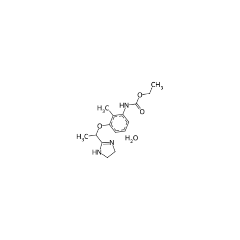 CCOC(=O)Nc1cccc(OC(C)C2=NCCN2)c1C.O